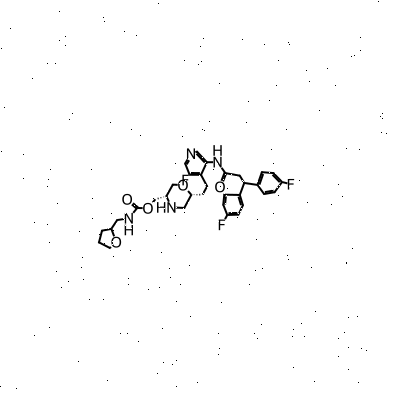 O=C(CC(c1ccc(F)cc1)c1ccc(F)cc1)Nc1cncc(F)c1CC[C@@H]1CN[C@H](COC(=O)NCC2CCCO2)CO1